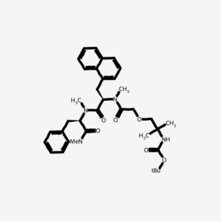 CNC(=O)[C@@H](Cc1ccccc1)N(C)C(=O)[C@@H](Cc1cccc2ccccc12)N(C)C(=O)COCC(C)(C)NC(=O)OC(C)(C)C